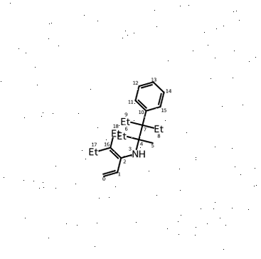 C=CC(NC(C)(CC)C(CC)(CC)c1ccccc1)=C(CC)CC